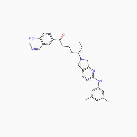 CCC(CCCC(=O)c1ccc(N)c(/C=N\C)c1)N1Cc2cnc(Nc3cc(C)cc(C)c3)nc2C1